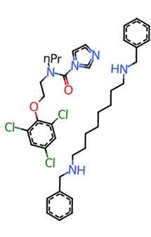 CCCN(CCOc1c(Cl)cc(Cl)cc1Cl)C(=O)n1ccnc1.c1ccc(CNCCCCCCCCNCc2ccccc2)cc1